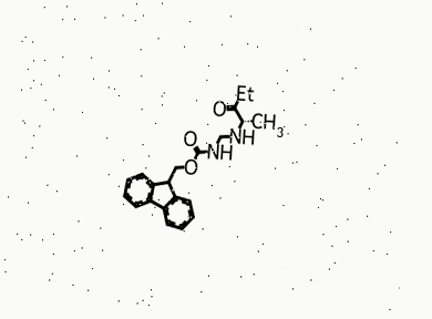 CCC(=O)[C@H](C)NCNC(=O)OCC1c2ccccc2-c2ccccc21